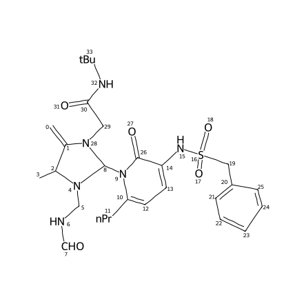 C=C1C(C)N(CNC=O)C(n2c(CCC)ccc(NS(=O)(=O)Cc3ccccc3)c2=O)N1CC(=O)NC(C)(C)C